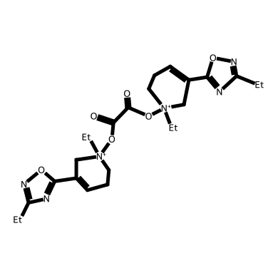 CCc1noc(C2=CCC[N+](CC)(OC(=O)C(=O)O[N+]3(CC)CCC=C(c4nc(CC)no4)C3)C2)n1